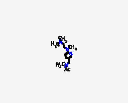 CC(=O)N(C)Cc1ccc(N(C)CCN(C)C)nc1